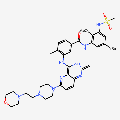 C=C/N=C1/C=CC(N2CCN(CCN3CCOCC3)CC2)=N/C1=C(/N)Nc1cc(C(=O)Nc2cc(C(C)(C)C)cc(NS(C)(=O)=O)c2OC)ccc1C